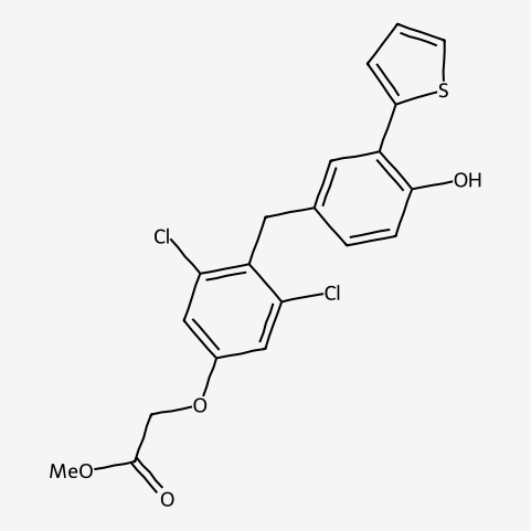 COC(=O)COc1cc(Cl)c(Cc2ccc(O)c(-c3cccs3)c2)c(Cl)c1